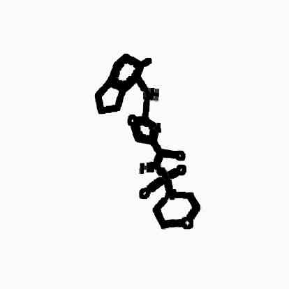 Cc1ccc2c(c1Nc1nc(C(=O)NS(=O)(=O)N3CCOCC3)co1)CCC2